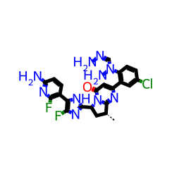 C[C@@H]1CC(c2nc(F)c(-c3ccc(N)nc3F)[nH]2)n2c1nc(-c1cc(Cl)ccc1N(N)/C=N\N)cc2=O